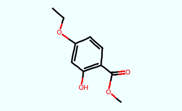 CCOc1ccc(C(=O)OC)c(O)c1